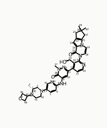 C[C@@H]1CN(c2ccc(Nc3cc(-c4ccnc(-n5ccn6c7c(cc6c5=O)CC(C)(C)C7)c4CO)nn(C)c3=O)nc2)CCN1C1COC1